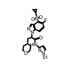 CCn1ccc(NC(=O)C(CC2CCOCC2)n2ncc3c(S(=O)(=O)C4CC4)c(F)ccc32)n1